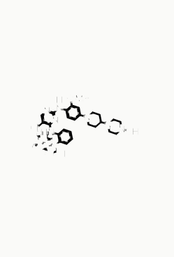 COc1cc(N2CCC(N3CCN(C)CC3)CC2)ccc1Nc1ncc(Cl)c(Nc2ccccc2N(C)S(=O)(=O)N(C)C)n1